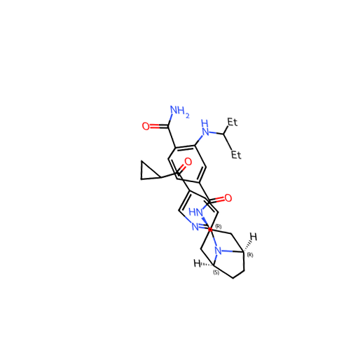 CCC(CC)Nc1cc(C(=O)N[C@H]2C[C@H]3CC[C@@H](C2)N3c2ccc(C(=O)C3CC3)cn2)ccc1C(N)=O